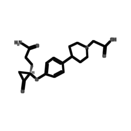 NC(=O)CC[C@@]1(Oc2ccc(C3CCN(CC(=O)O)CC3)cc2)CC1=O